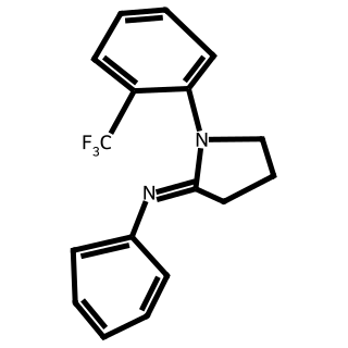 FC(F)(F)c1ccccc1N1CCCC1=Nc1ccccc1